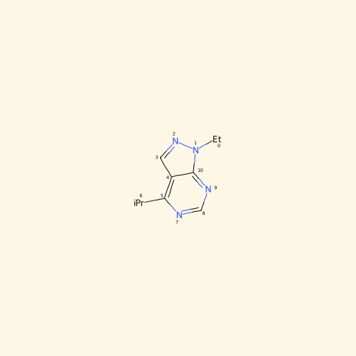 CCn1ncc2c(C(C)C)ncnc21